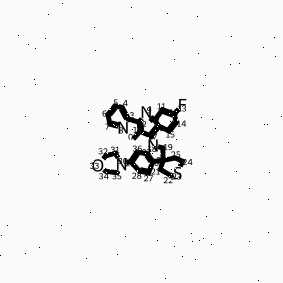 Cc1c(-c2ccccn2)nc2cc(F)ccc2c1N1CC2(CCSCC2)c2ccc(N3CCOCC3)cc21